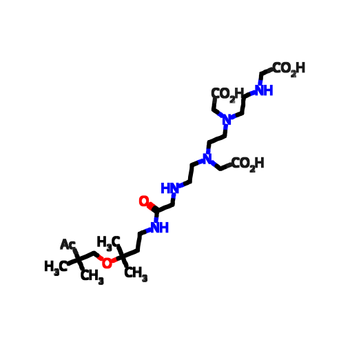 CC(=O)C(C)(C)COC(C)(C)CCNC(=O)CNCCN(CCN(CCNCC(=O)O)CC(=O)O)CC(=O)O